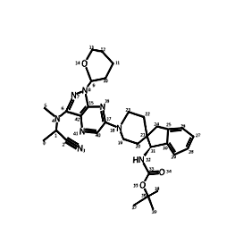 CC(C#N)N(C)c1nn(C2CCCCO2)c2nc(N3CCC4(CC3)Cc3ccccc3[C@H]4NC(=O)OC(C)(C)C)cnc12